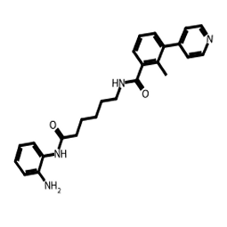 Cc1c(C(=O)NCCCCCC(=O)Nc2ccccc2N)cccc1-c1ccncc1